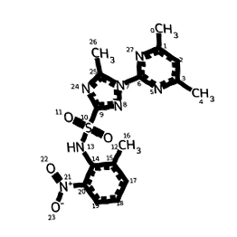 Cc1cc(C)nc(-n2nc(S(=O)(=O)Nc3c(C)cccc3[N+](=O)[O-])nc2C)n1